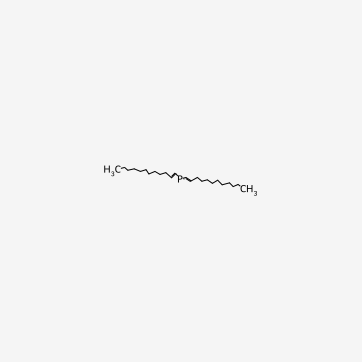 CCCCCCCCCCC=C[P]C=CCCCCCCCCCC